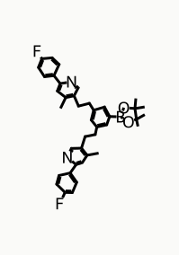 Cc1cc(-c2ccc(F)cc2)ncc1CCc1cc(CCc2cnc(-c3ccc(F)cc3)cc2C)cc(B2OC(C)(C)C(C)(C)O2)c1